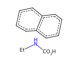 CCNC(=O)O.c1ccc2ccccc2c1